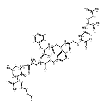 CCCSSC[C@@H](NC(=O)[C@H](CC(=O)O)NC(=O)[C@@H](N)CNC(=O)[C@H](Cc1ccccc1)NC(=O)[C@H](Cc1ccccc1)NC(=O)CCNC(=O)CC[C@H](NC(=S)N[C@@H](CCC(=O)O)C(=O)O)C(=O)O)C(=O)O